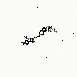 Cn1c(-c2ccc(Cl)cc2)cnc1SCCCN1CCc2ccc(OS(C)(=O)=O)cc2CC1